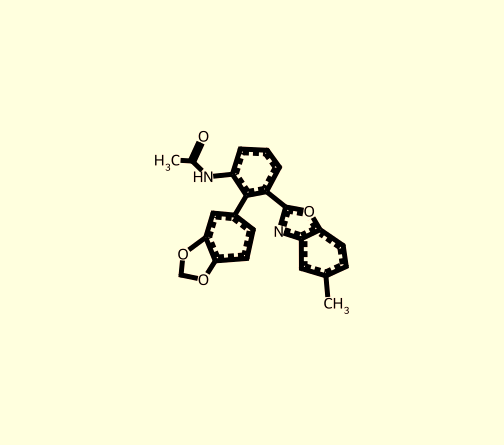 CC(=O)Nc1cccc(-c2nc3cc(C)ccc3o2)c1-c1ccc2c(c1)OCO2